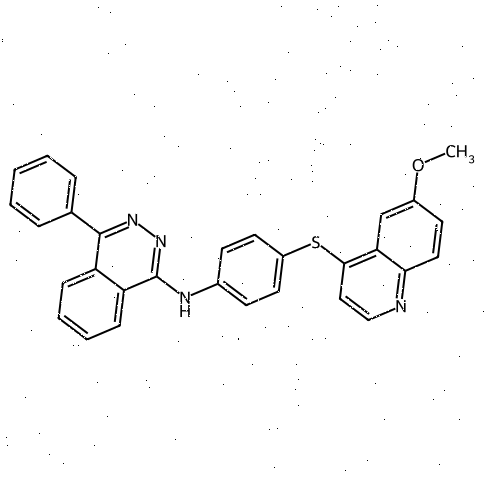 COc1ccc2nccc(Sc3ccc(Nc4nnc(-c5ccccc5)c5ccccc45)cc3)c2c1